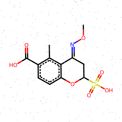 CON=C1CC(S(=O)(=O)O)Oc2ccc(C(=O)O)c(C)c21